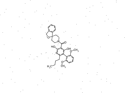 CCCCc1nc(O)c(C(=O)N2CCC3(CC2)OCc2ccccc23)c(O)c1-c1c(OC)cccc1OC